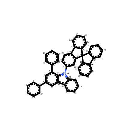 c1ccc(-c2cc(-c3ccccc3)c3c(c2)c2ccccc2n3-c2ccc3c(c2)C2(c4ccccc4-c4ccccc42)c2ccccc2-3)cc1